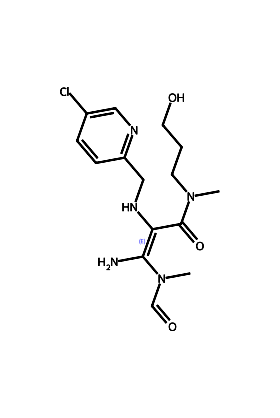 CN(CCCO)C(=O)/C(NCc1ccc(Cl)cn1)=C(/N)N(C)C=O